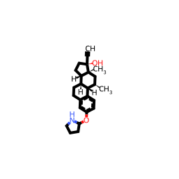 C#C[C@]1(O)CC[C@H]2[C@@H]3CCc4cc(OC5CCCN5)ccc4[C@H]3[C@@H](C)C[C@@]21C